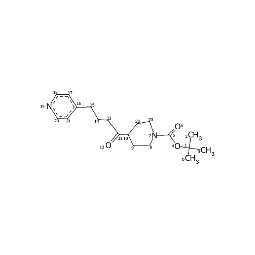 CC(C)(C)OC(=O)N1CCC(C(=O)CCCc2ccncc2)CC1